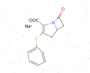 O=C([O-])C1=C(Sc2ccccc2)CC2CC(=O)N12.[Na+]